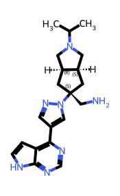 CC(C)N1C[C@@H]2C[C@@](CN)(n3cc(-c4ncnc5[nH]ccc45)cn3)C[C@@H]2C1